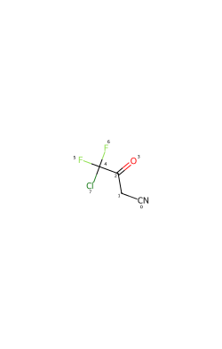 N#CCC(=O)C(F)(F)Cl